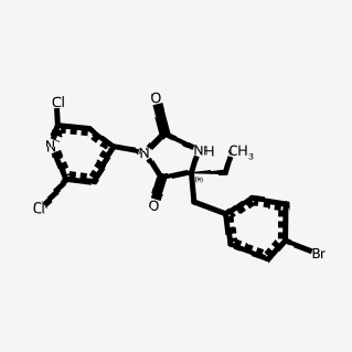 CC[C@]1(Cc2ccc(Br)cc2)NC(=O)N(c2cc(Cl)nc(Cl)c2)C1=O